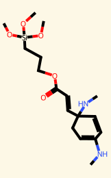 CNC1=CCC(C=CC(=O)OCCC[Si](OC)(OC)OC)(NC)C=C1